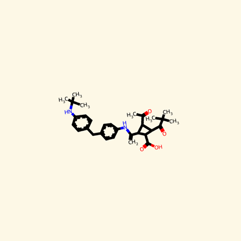 C=C(Nc1ccc(Cc2ccc(NC(C)(C)C)cc2)cc1)C1C(C(C)=O)C(C(=O)C(C)(C)C)C1C(=O)O